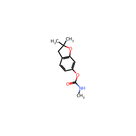 CNC(=O)Oc1ccc2c(c1)OC(C)(C)C2